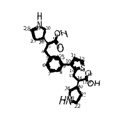 O=C(O)C(Cc1cccc(-c2ccsc2CC(C(=O)O)[C@H]2CCNC2)c1)[C@H]1CCNC1